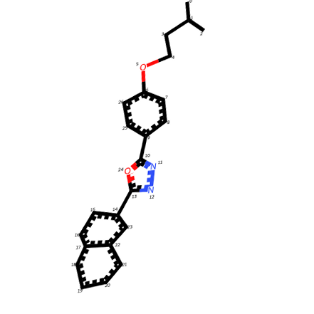 C[C](C)CCOc1ccc(-c2nnc(-c3ccc4ccccc4c3)o2)cc1